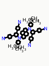 C[Si](C)(C)c1ccc(N(c2cc(-c3ccc(C#N)cc3)cc(-c3ccc(C#N)cc3)c2)c2ccc3ccc4c(N(c5ccc([Si](C)(C)C)cc5)c5cc(-c6ccc(C#N)cc6)cc(-c6ccc(C#N)cc6)c5)ccc5ccc2c3c54)cc1